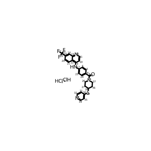 Cl.Cl.O=C(c1ccc(Nc2ccnc3cc(C(F)(F)F)ccc23)cc1)N1CCC(Sc2ccncc2)CC1